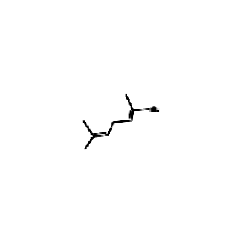 CCCCC(C)=CCC=C(C)C